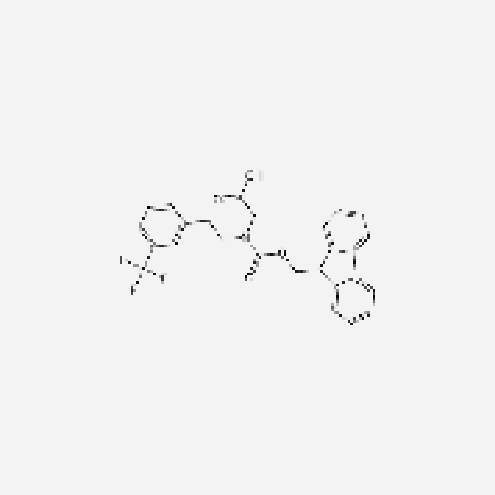 O=C(O)CN(CCc1cccc(C(F)(F)F)c1)C(=O)OCC1c2ccccc2-c2ccccc21